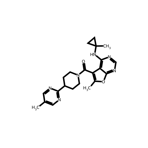 Cc1cnc(C2CCN(C(=O)c3c(C)oc4ncnc(NC5(C)CC5)c34)CC2)nc1